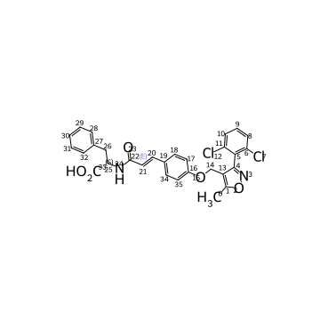 Cc1onc(-c2c(Cl)cccc2Cl)c1COc1ccc(/C=C/C(=O)N[C@@H](Cc2ccccc2)C(=O)O)cc1